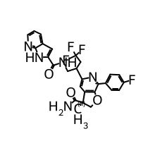 C[C@]1(C(N)=O)COc2c1cc(C(CNC(=O)c1cc3cccnc3[nH]1)CC(F)(F)F)nc2-c1ccc(F)cc1